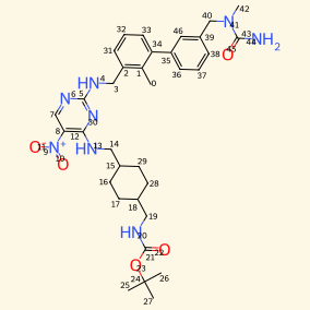 Cc1c(CNc2ncc([N+](=O)[O-])c(NCC3CCC(CNC(=O)OC(C)(C)C)CC3)n2)cccc1-c1cccc(CN(C)C(N)=O)c1